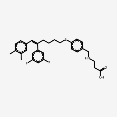 Cc1ccc(C=C(CCCCSc2ccc(CNCCC(=O)O)cc2)c2cc(F)cc(F)c2)cc1C